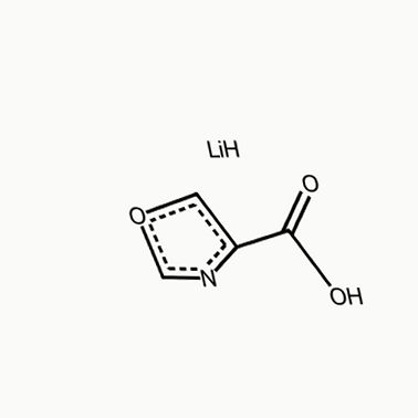 O=C(O)c1cocn1.[LiH]